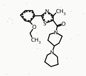 CCOc1ccccc1-c1nc(C)c(C(=O)N2CCC(N3CCCCC3)CC2)s1